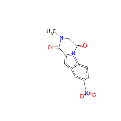 CN1CC(=O)n2c(cc3cc([N+](=O)[O-])ccc32)C1=O